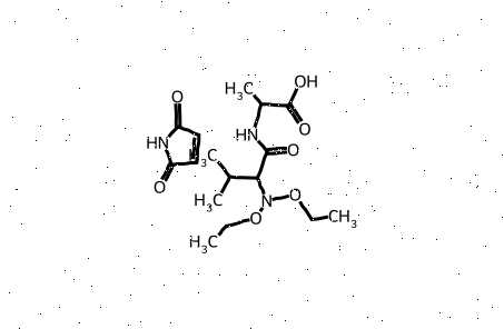 CCON(OCC)C(C(=O)NC(C)C(=O)O)C(C)C.O=C1C=CC(=O)N1